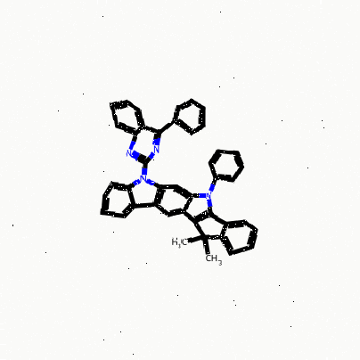 CC1(C)c2ccccc2-c2c1c1cc3c4ccccc4n(-c4nc(-c5ccccc5)c5ccccc5n4)c3cc1n2-c1ccccc1